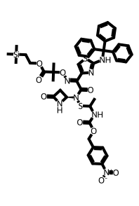 CC(NC(=O)OCc1ccc([N+](=O)[O-])cc1)SN(C(=O)C(=NOC(C)(C)C(=O)OCC[Si](C)(C)C)c1csc(NC(c2ccccc2)(c2ccccc2)c2ccccc2)n1)[C@@H]1CC(=O)N1